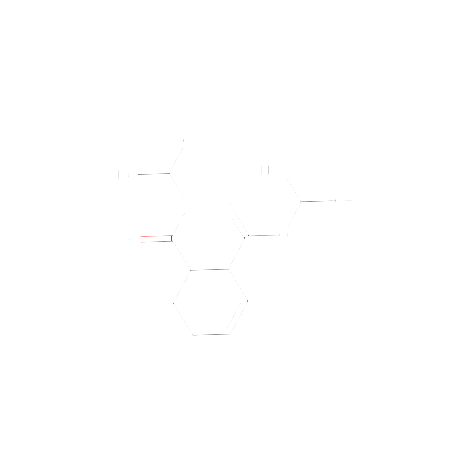 CC(C)OC(=O)C1C=CCCC1C(=O)OC(C)C